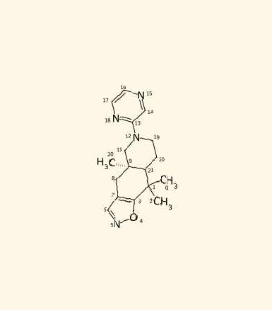 CC1(C)c2oncc2C[C@@]2(C)CN(c3cnccn3)CCC12